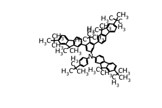 CC(C)(C)c1ccc(N(c2cc(-c3ccc4c(c3)C(C)(C)c3cc(C(C)(C)C)ccc3-4)c(C(C)(C)C)c(-c3ccc4c(c3)C(C)(C)c3cc(C(C)(C)C)ccc3-4)c2)c2ccc3c(c2)C(C)(C)c2cc(C(C)(C)C)ccc2-3)cc1